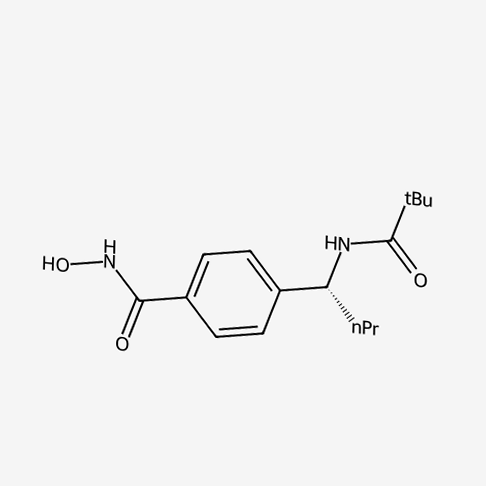 CCC[C@@H](NC(=O)C(C)(C)C)c1ccc(C(=O)NO)cc1